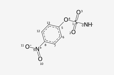 [NH]S(=O)(=O)Oc1ccc([N+](=O)[O-])cc1